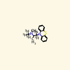 [2H]C([2H])([2H])N(C)C(C)C([2H])([2H])N1c2ccccc2Sc2ccccc21